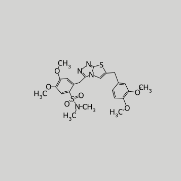 COc1ccc(Cc2cn3c(Cc4cc(OC)c(OC)cc4S(=O)(=O)N(C)C)nnc3s2)cc1OC